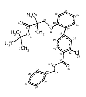 CC(C)(C)OC(=O)C(C)(C)COc1ccccc1-c1ccc(C(=O)OCc2ccccc2)c(Cl)c1